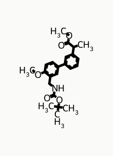 COC(=O)C(C)c1cccc(-c2ccc(OC)c(CNC(=O)OC(C)(C)C)c2)c1